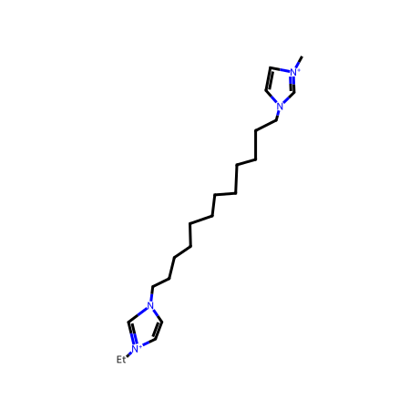 CC[n+]1ccn(CCCCCCCCCCCCn2cc[n+](C)c2)c1